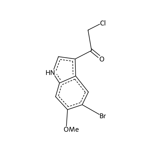 COc1cc2[nH]cc(C(=O)CCl)c2cc1Br